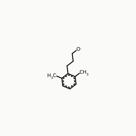 Cc1cccc(C)c1CCC[O]